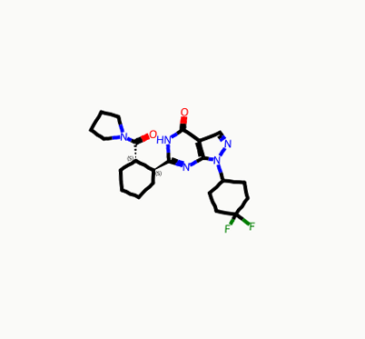 O=C([C@H]1CCCC[C@@H]1c1nc2c(cnn2C2CCC(F)(F)CC2)c(=O)[nH]1)N1CCCC1